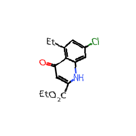 CCOC(=O)c1cc(=O)c2c(CC)cc(Cl)cc2[nH]1